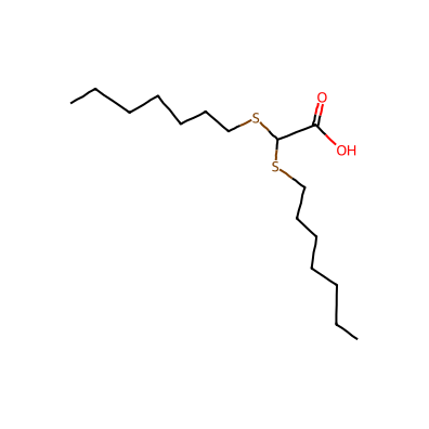 CCCCCCCSC(SCCCCCCC)C(=O)O